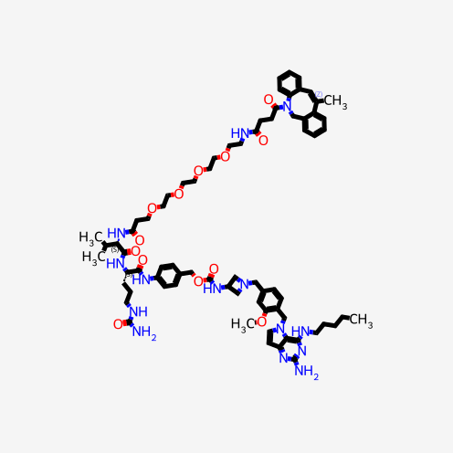 CCCCCNc1nc(N)nc2ccn(Cc3ccc(CN4CC(NC(=O)OCc5ccc(NC(=O)[C@H](CCCNC(N)=O)NC(=O)[C@@H](NC(=O)CCOCCOCCOCCOCCNC(=O)CCC(=O)N6Cc7ccccc7/C(C)=C\c7ccccc76)C(C)C)cc5)C4)cc3OC)c12